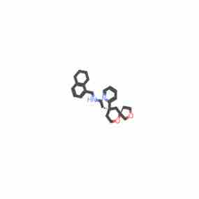 c1ccc([C@]2(CCNCc3cccc4c3CCCC4)CCO[C@]3(CCOC3)C2)nc1